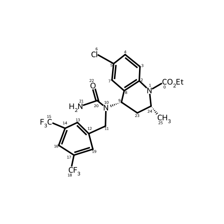 CCOC(=O)N1c2ccc(Cl)cc2[C@@H](N(Cc2cc(C(F)(F)F)cc(C(F)(F)F)c2)C(N)=O)C[C@H]1C